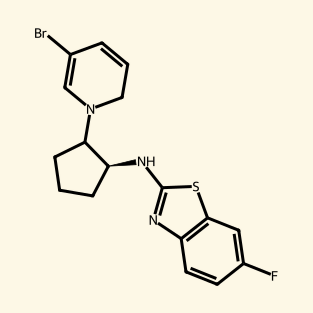 Fc1ccc2nc(N[C@H]3CCCC3N3C=C(Br)C=CC3)sc2c1